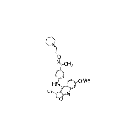 COc1ccc2c(Nc3ccc(/C(C)=N/OCCN4CCCCC4)cc3)c3c(Cl)coc3nc2c1